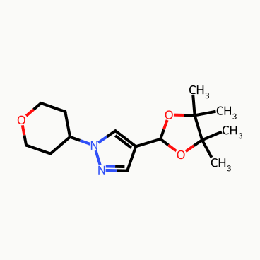 CC1(C)OC(c2cnn(C3CCOCC3)c2)OC1(C)C